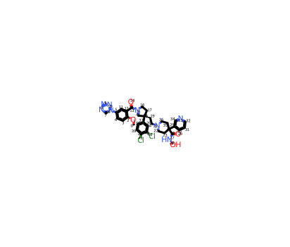 COc1ccc(-n2cnnn2)cc1C(=O)N1CC[C@](CCN2CCC(C(=O)NO)(c3cccnc3)CC2)(c2ccc(Cl)c(Cl)c2)C1